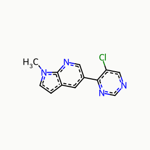 Cn1ccc2cc(-c3ncncc3Cl)cnc21